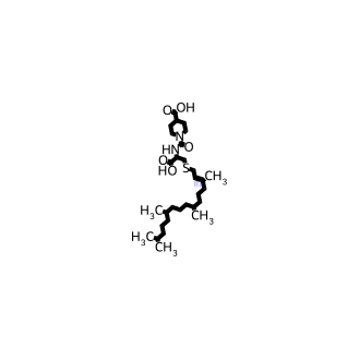 C/C(=C\CSCC(NC(=O)N1CCC(C(=O)O)CC1)C(=O)O)CCCC(C)CCCC(C)CCCC(C)C